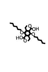 CCCCCCOc1c(CC)c(C(=O)O)c(OCCCCCC)c(CC)c1C(=O)O